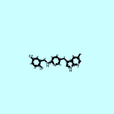 Cc1cnc2[nH]cc(Cc3ccc(NCc4cc(F)ccc4F)nc3)c2c1